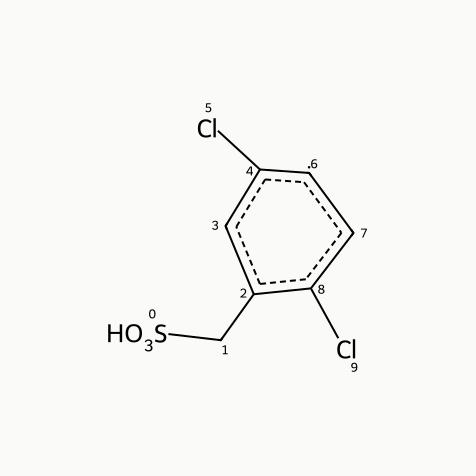 O=S(=O)(O)Cc1cc(Cl)[c]cc1Cl